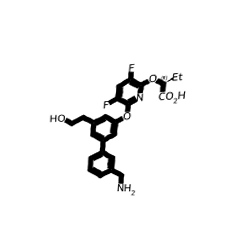 CC[C@@H](Oc1nc(Oc2cc(CCO)cc(-c3cccc(CN)c3)c2)c(F)cc1F)C(=O)O